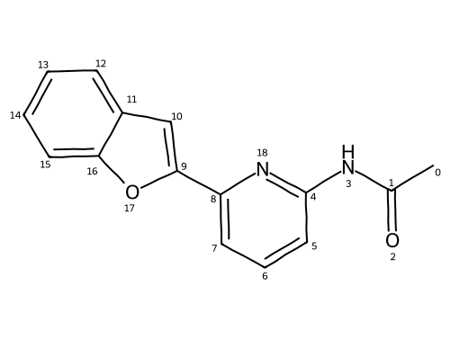 CC(=O)Nc1cccc(-c2cc3ccccc3o2)n1